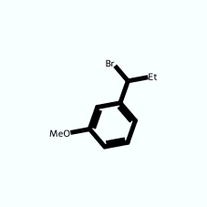 CCC(Br)c1cccc(OC)c1